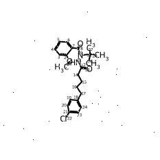 COc1ccccc1C(=O)N(NC(=O)CCCCc1ccc(Cl)cc1)C(C)(C)C